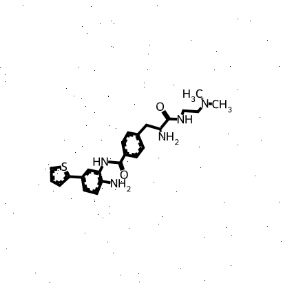 CN(C)CCNC(=O)[C@@H](N)Cc1ccc(C(=O)Nc2cc(-c3cccs3)ccc2N)cc1